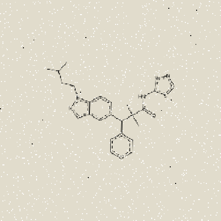 CC(C)CCn1ncc2cc(C(c3ccccc3)C(C)(C)C(=O)Nc3nncs3)ccc21